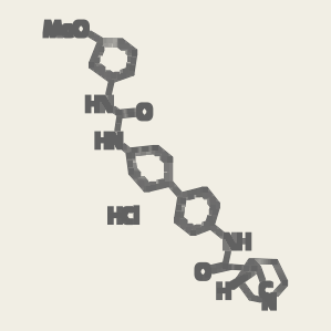 COc1cccc(NC(=O)Nc2ccc(-c3ccc(NC(=O)[C@H]4CN5CCC4CC5)cc3)cc2)c1.Cl